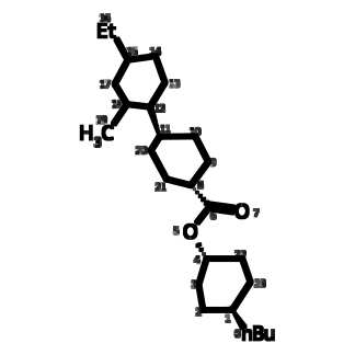 CCCC[C@H]1CC[C@H](OC(=O)[C@H]2CC[C@H](C3CCC(CC)CC3C)CC2)CC1